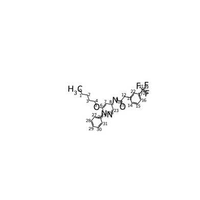 CCCCCOc1c/c(=N/C(=O)Cc2cccc(C(F)(F)F)c2)cnn1-c1ccccc1